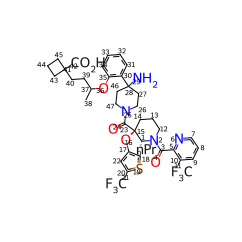 CCC[C@H]1N(C(=O)c2ncccc2C(F)(F)F)CCC[C@@]1(Oc1csc(C(F)(F)F)c1)C(=O)N1CCC(N)(c2ccccc2OC(C)CCC2(C(=O)O)CCC2)CC1